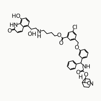 O=C(NC(c1ccccc1)c1cccc(OCc2cc(Cl)cc(C(=O)OCCCCNC[C@H](O)c3ccc(O)c4[nH]c(=O)ccc34)c2)c1)O[C@H]1CN2CCC1CC2